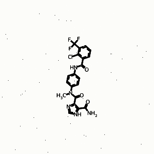 CN(C(=O)c1nc[nH]c1C(N)=O)c1ccc(NC(=O)c2cccc(C(F)(F)F)c2Cl)cc1